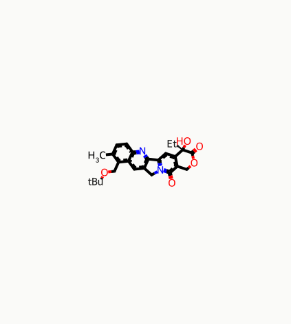 CC[C@@]1(O)C(=O)OCc2c1cc1n(c2=O)Cc2cc3c(COC(C)(C)C)c(C)ccc3nc2-1